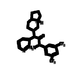 NN(C(=O)C(c1cccnc1)N1CCN2CCC[C@@H]2C1)c1cc(C(F)(F)F)cc(C(F)(F)F)c1